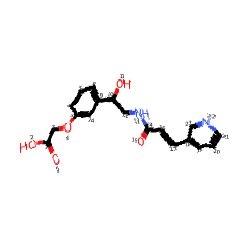 O=C(O)COc1cccc(C(O)CNC(=O)C=Cc2cccnc2)c1